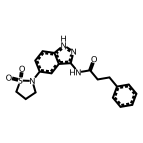 O=C(CCc1ccccc1)Nc1n[nH]c2ccc(N3CCCS3(=O)=O)cc12